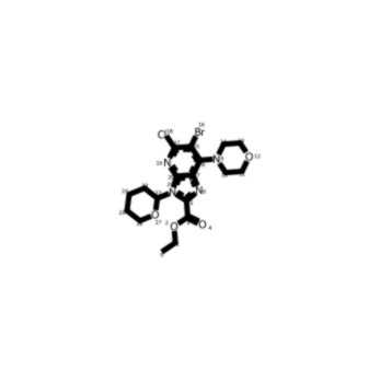 CCOC(=O)c1nc2c(N3CCOCC3)c(Br)c(Cl)nc2n1C1CCCCO1